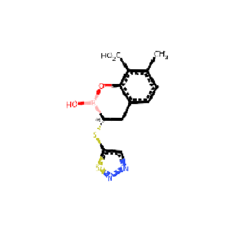 Cc1ccc2c(c1C(=O)O)OB(O)[C@@H](Sc1cnns1)C2